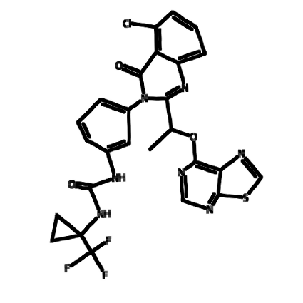 CC(Oc1ncnc2scnc12)c1nc2cccc(Cl)c2c(=O)n1-c1cccc(NC(=O)NC2(C(F)(F)F)CC2)c1